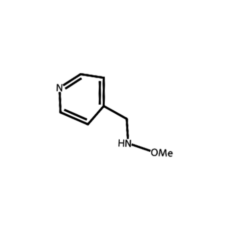 CONCc1ccncc1